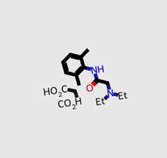 CCN(CC)CC(=O)Nc1c(C)cccc1C.O=C(O)CC(=O)O